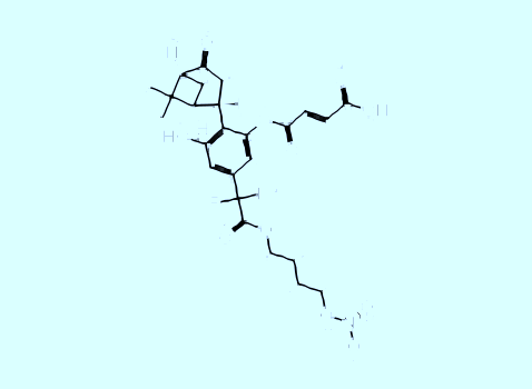 CC1(C)[C@@H]2C[C@H]1[C@@H](c1c(O)cc(C(F)(F)C(=O)OCCCCO[N+](=O)[O-])cc1OC(=O)/C=C/C(=O)O)CC2=O